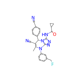 CC1=C(C#N)C(c2ccc(C#N)cc2)n2c(NC(=O)C3CC3)nnc2N1c1cccc(CF)c1